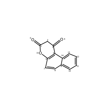 O=C1CC(=O)c2c(ccc3ccccc23)O1